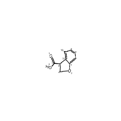 O=C(O)C1COc2ccccc21